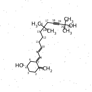 C=C1CC[C@H](O)CC1=CC=CCCCC(C)(C)CC#CC(C)(C)O